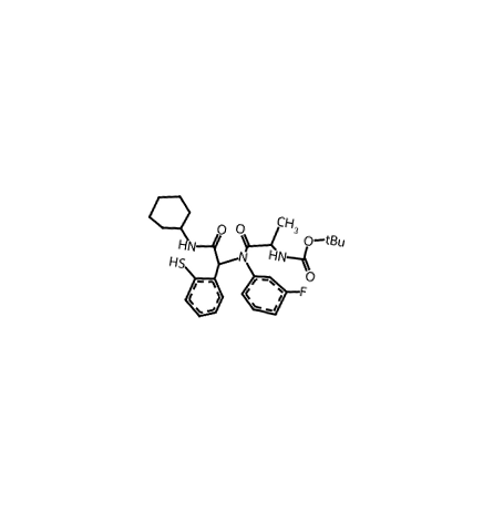 CC(NC(=O)OC(C)(C)C)C(=O)N(c1cccc(F)c1)C(C(=O)NC1CCCCC1)c1ccccc1S